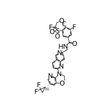 O=C(NCc1cc2nc(N3CCOc4cc([C@@H]5CC5(F)F)cnc43)ccc2cn1)c1cc(F)c2c(c1)S(=O)(=O)[C@@H](F)COC2